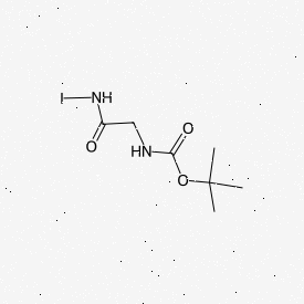 CC(C)(C)OC(=O)NCC(=O)NI